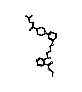 CCOC(=O)c1ccncc1NCCCOc1cccc(N2CCN(C(=O)OCC(C)C)CC2)c1